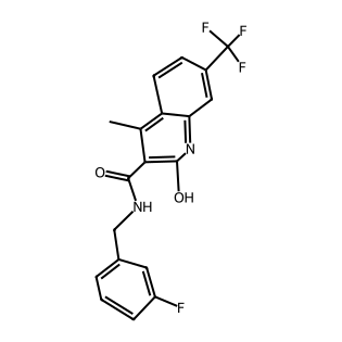 Cc1c(C(=O)NCc2cccc(F)c2)c(O)nc2cc(C(F)(F)F)ccc12